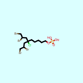 O=P(O)(O)OCCCCCC(Cl)(CC(Br)CBr)CC(Br)CBr